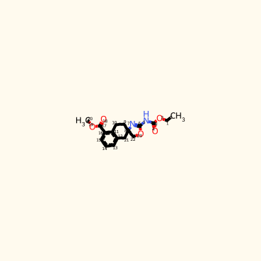 CCOC(=O)NC1=NC2(CCc3c(cccc3C(=O)OC)C2)CO1